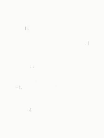 Cc1nc[nH]c(=O)c1Oc1cc(Cl)cc(C#N)c1